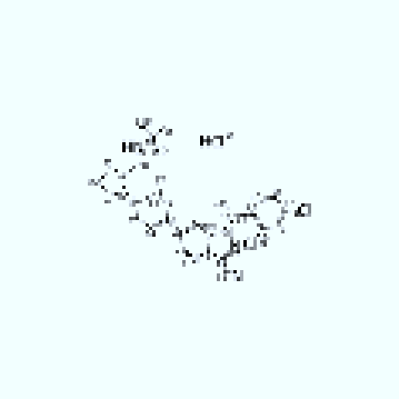 C[C@@H]1CC(c2cnc3c(C#N)nn([C@H](C)c4ccc(Cl)cc4Cl)c3n2)=CC[C@@H]1N1CCCC1CNS(C)(=O)=O.Cl